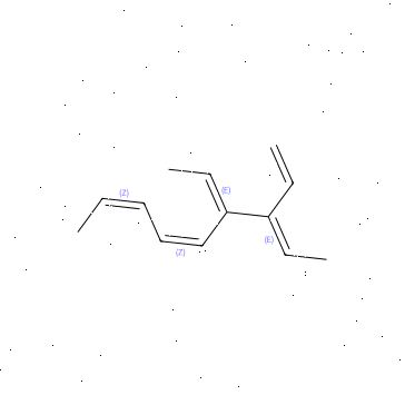 C=CC(=C\C)/C(/C=C\C=C/C)=C/C